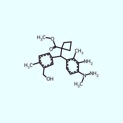 COC(=O)C1(C(c2ccc(C)c(CO)c2)c2ccc(N(C)N)c(N)c2C)CCC1